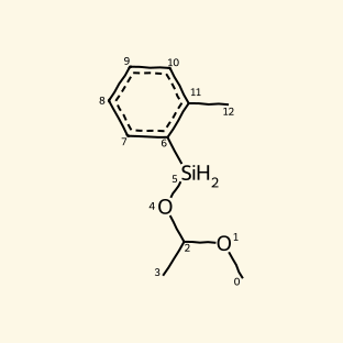 COC(C)O[SiH2]c1ccccc1C